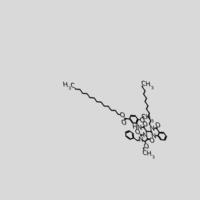 CCCCCCCCCCCCCCOC(=O)c1ccc(OC)c(NC(=O)C(c2nc3ccccc3c(=O)n2CCCCCCCCCCCC)N2C(=O)C(OCC)N(Cc3ccccc3)C2=O)c1